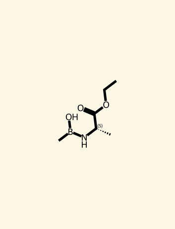 CCOC(=O)[C@H](C)NB(C)O